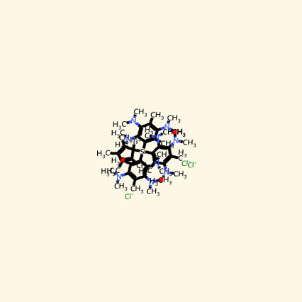 CC1=C(C)[C]([Ti+3])([Si](c2c(C)c(N(C)C)c(C)c(N(C)C)c2N(C)C)(c2c(C)c(N(C)C)c(C)c(N(C)C)c2N(C)C)c2c(C)c(N(C)C)c(C)c(N(C)C)c2N(C)C)C(C)=C1C.[Cl-].[Cl-].[Cl-]